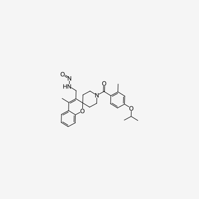 CC1=C(CNN=O)C2(CCN(C(=O)c3ccc(OC(C)C)cc3C)CC2)Oc2ccccc21